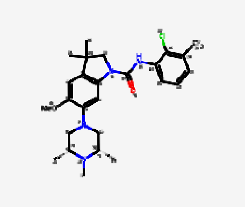 COc1cc2c(cc1N1C[C@@H](C)N(C)[C@@H](C)C1)N(C(=O)Nc1cccc(C(F)(F)F)c1Cl)CC2(C)C